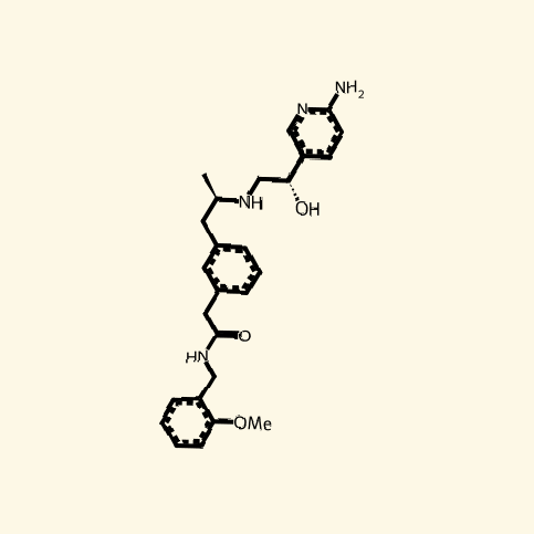 COc1ccccc1CNC(=O)Cc1cccc(C[C@@H](C)NC[C@@H](O)c2ccc(N)nc2)c1